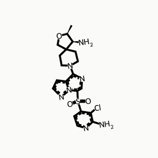 C[C@@H]1OCC2(CCN(c3ncc(S(=O)(=O)c4ccnc(N)c4Cl)n4nccc34)CC2)[C@@H]1N